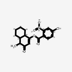 CC1C(=O)C=C(OC(=O)c2ccc(Cl)cc2[N+](=O)[O-])C2CCCCC12